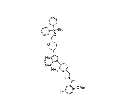 COc1ccc(F)cc1C(=O)NCc1ccc(-c2cc(C3CCC(CO[Si](c4ccccc4)(c4ccccc4)C(C)(C)C)OC3)n3ncnc(N)c23)cc1